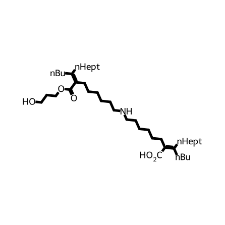 CCCCCCC/C(CCCC)=C(\CCCCCCNCCCCCC/C(C(=O)OCCCO)=C(/CCCC)CCCCCCC)C(=O)O